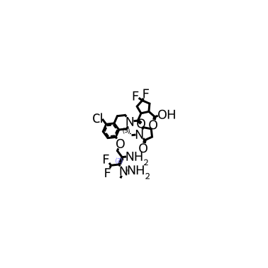 CN(N)/C(=C(\N)COc1ccc(Cl)c2c1[C@@H](CN1CCCC1=O)N(C(=O)C1CC(F)(F)CC1C(=O)O)CC2)C(F)F